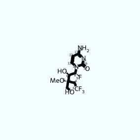 CO[C@@](CO)(CC(F)(F)F)[C@@H](O)[C@@H](F)n1ccc(N)nc1=O